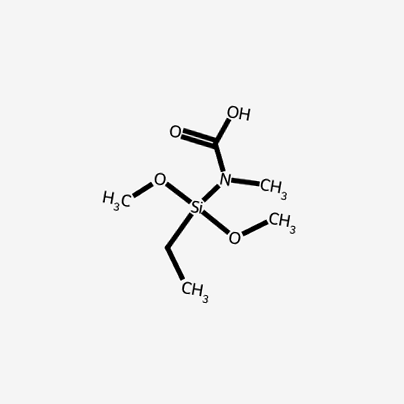 CC[Si](OC)(OC)N(C)C(=O)O